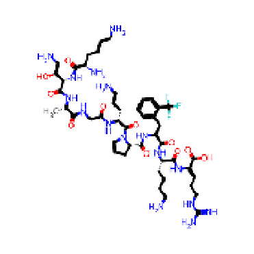 C[C@H](NC(=O)[C@@H](NC(=O)[C@@H](N)CCCCN)[C@@H](O)CN)C(=O)NCC(=O)N[C@H](CCCN)C(=O)N1CCC[C@H]1C(=O)NC(Cc1ccccc1C(F)(F)F)C(=O)N[C@@H](CCCCN)C(=O)N/C(=C\CCNC(=N)N)C(=O)O